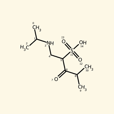 CC(C)NCC(C(=O)C(C)C)S(=O)(=O)O